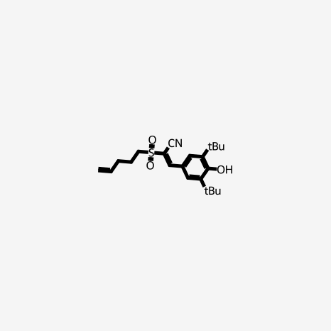 C=CCCCS(=O)(=O)/C(C#N)=C/c1cc(C(C)(C)C)c(O)c(C(C)(C)C)c1